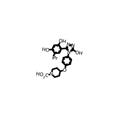 CC(C)c1cc(-c2nnc(O)n2-c2ccc(OC3CCN(C(=O)O)CC3)cc2)c(O)cc1O